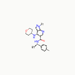 CC[C@@H](NC(=O)c1cnc2c(cnn2CC)c1NC1CCOCC1)c1ccc(C)cc1